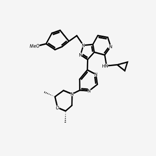 COc1ccc(Cn2nc(-c3cc(N4C[C@@H](C)O[C@@H](C)C4)ncn3)c3c(NC4CC4)nccc32)cc1